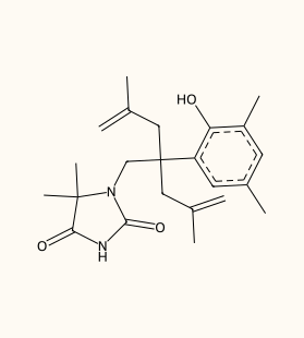 C=C(C)CC(CC(=C)C)(CN1C(=O)NC(=O)C1(C)C)c1cc(C)cc(C)c1O